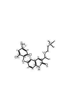 CC(OCC[Si](C)(C)C)c1cc2cc(Oc3c(Cl)cc(N)cc3Cl)ccc2[nH]c1=O